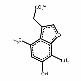 Cc1c(O)cc(C)c2c(CC(=O)O)coc12